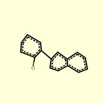 Clc1ccccc1-c1ccc2ccccc2c1